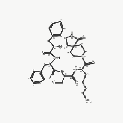 CC(C)C[C@@H](NC(=O)[C@@H](Cc1ccccc1)NC(=O)[C@H](N)Cc1ccccc1)C(=O)N[C@H](CCCCN)C(=O)N1CCC2(CCNC2=O)CC1